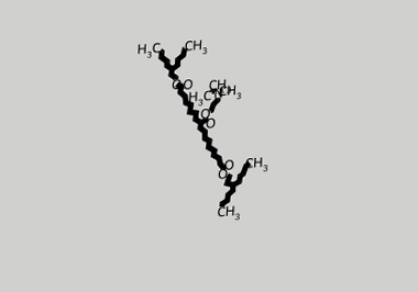 CCCCCC(CCCCC)CCOC(=O)CCCCCCCCCC(CCCCCCCC(=O)OCCC(CCCCC)CCCCC)C(=O)OCCCN(C)C(C)C